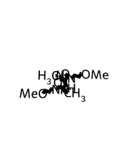 C\C=C(/C=C(\C=N\C)C(=O)NCCCOC)C(=O)NCCCOC